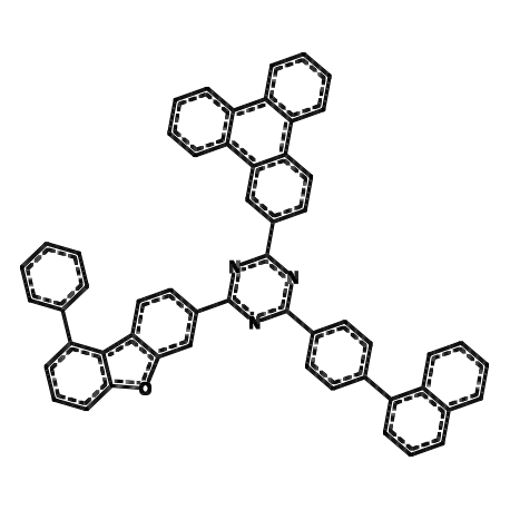 c1ccc(-c2cccc3oc4cc(-c5nc(-c6ccc(-c7cccc8ccccc78)cc6)nc(-c6ccc7c8ccccc8c8ccccc8c7c6)n5)ccc4c23)cc1